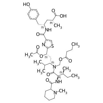 CCCC(=O)OCN(C(=O)[C@H](NC(=O)C1CCCCN1C)[C@@H](C)CC)[C@@H](C[C@H](OC(C)=O)c1nc(C(=O)N[C@H](Cc2ccc(O)cc2)C[C@@H](C)C(=O)O)cs1)C(C)C